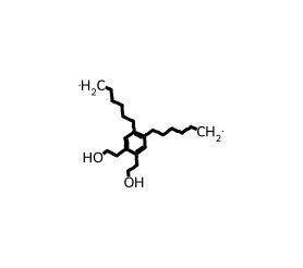 [CH2]CCCCCc1cc(CCO)c(CCO)cc1CCCCC[CH2]